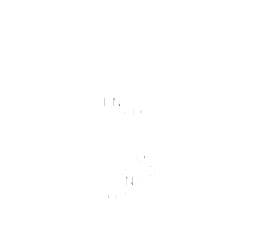 CCC(C)CCCCNC(=O)CCCC(=O)ON1C(=O)CCC1=O